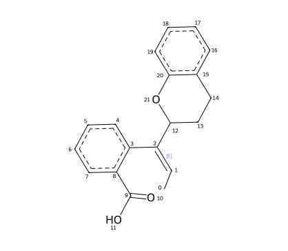 C/C=C(\c1ccccc1C(=O)O)C1CCc2ccccc2O1